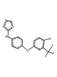 FC(F)(F)c1cc(Oc2ccc(Nc3nncs3)cc2)ccc1Cl